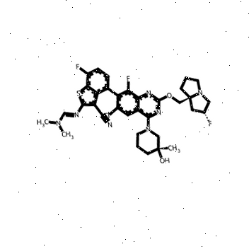 CN(C)/C=N/c1sc2c(F)ccc(-c3c(Cl)cc4c(N5CCC[C@@](C)(O)C5)nc(OC[C@@]56CCCN5C[C@H](F)C6)nc4c3F)c2c1C#N